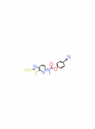 CN(C(=O)Oc1ccc(C#N)cc1)c1ccc2nc(S)sc2n1